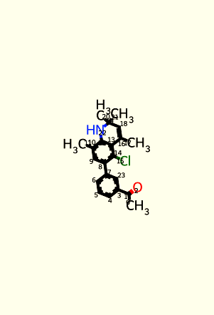 CC(=O)c1cccc(-c2cc(C)c3c(c2Cl)C(C)=CC(C)(C)N3)c1